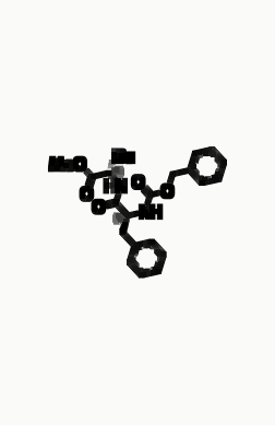 CCC(C)[C@H](NC(=O)[C@H](Cc1ccccc1)NC(=O)OCc1ccccc1)C(=O)OC